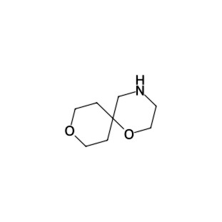 C1COC2(CCOCC2)CN1